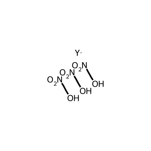 O=[N+]([O-])O.O=[N+]([O-])O.O=[N+]([O-])O.[Y]